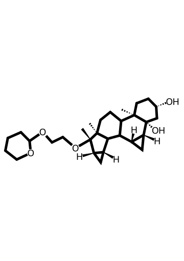 C[C@]12CCC3C(C1[C@@H]1C[C@@H]1[C@]2(C)OCCOC1CCCCO1)[C@H]1C[C@H]1[C@]1(O)C[C@@H](O)CC[C@]31C